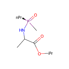 CCC[P@](C)(=O)NC(C)C(=O)OC(C)C